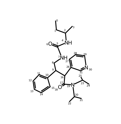 CCC(C)NC(=O)NCC(c1ccccc1)C(C(=O)N(C(C)C)C(C)C)c1cccnc1